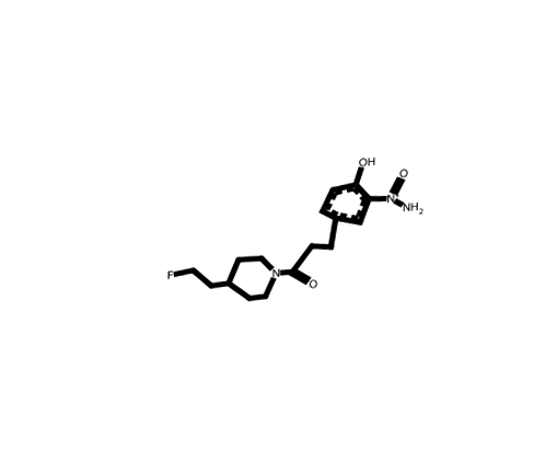 N[N+](=O)c1cc(C[CH]C(=O)N2CCC(CCF)CC2)ccc1O